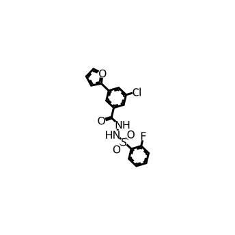 O=C(NNS(=O)(=O)c1ccccc1F)c1cc(Cl)cc(-c2ccco2)c1